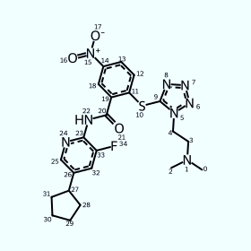 CN(C)CCn1nnnc1Sc1ccc([N+](=O)[O-])cc1C(=O)Nc1ncc(C2CCCC2)cc1F